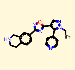 CC(C)Cn1ncc(-c2nc(-c3ccc4c(c3)CNCC4)no2)c1-c1ccncc1